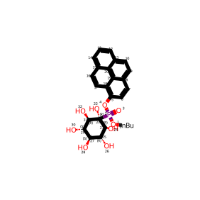 CCCCOP(=O)(Oc1ccc2ccc3cccc4ccc1c2c34)[C@@]1(O)[C@H](O)[C@H](O)[C@@H](O)[C@H](O)[C@H]1O